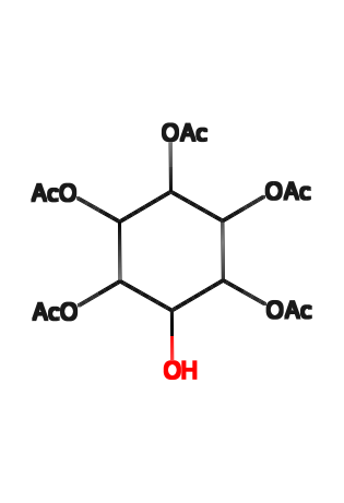 CC(=O)OC1C(O)C(OC(C)=O)C(OC(C)=O)C(OC(C)=O)C1OC(C)=O